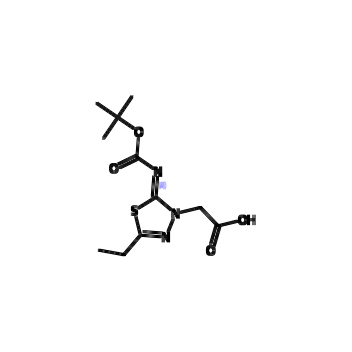 CCc1nn(CC(=O)O)/c(=N/C(=O)OC(C)(C)C)s1